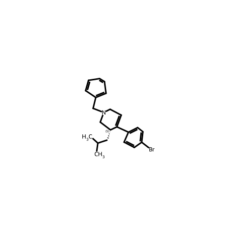 CC(C)C[C@@H]1CN(Cc2ccccc2)CC=C1c1ccc(Br)cc1